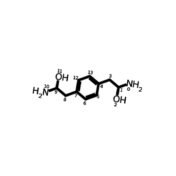 NC(O)Cc1ccc(CC(N)O)cc1